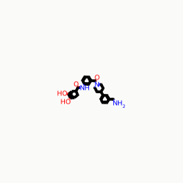 NCc1cccc(C2CCN(C(=O)c3cccc(NC(=O)C4CC5CC4C(O)C5O)c3)CC2)c1